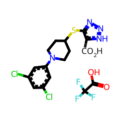 O=C(O)C(F)(F)F.O=C(O)c1[nH]nnc1SC1CCN(c2cc(Cl)cc(Cl)c2)CC1